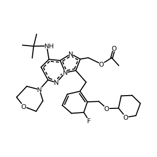 CC(=O)OCc1nc2c(NC(C)(C)C)cc(N3CCOCC3)nn2c1CC1=C(COC2CCCCO2)C(F)CC=C1